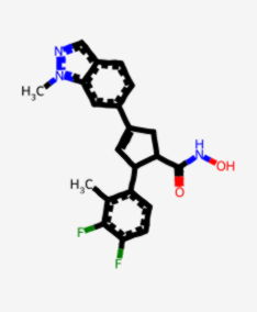 Cc1c(C2C=C(c3ccc4cnn(C)c4c3)CC2C(=O)NO)ccc(F)c1F